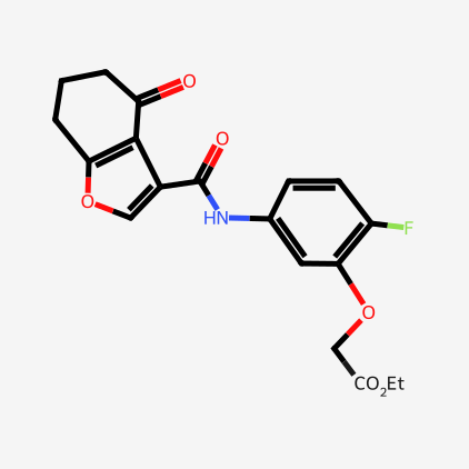 CCOC(=O)COc1cc(NC(=O)c2coc3c2C(=O)CCC3)ccc1F